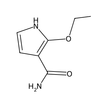 CCOc1[nH]ccc1C(N)=O